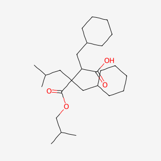 CC(C)COC(=O)C(CC(C)C)(CC1CCCCC1)C(CC1CCCCC1)C(=O)O